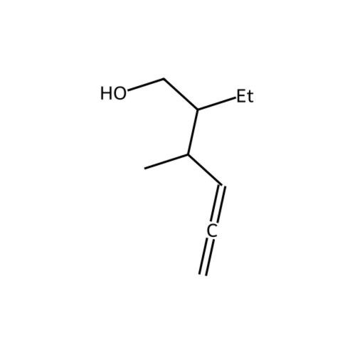 C=C=CC(C)C(CC)CO